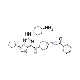 N[C@H]1CC[C@H](Nc2nc(NC3CCN(/C=C/C(=O)c4ccccc4)CC3)c3ncn(C4CCCC4)c3n2)CC1